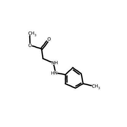 COC(=O)CNNc1ccc(C)cc1